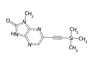 Cn1c(=O)[nH]c2ncc(C#C[Si](C)(C)C)nc21